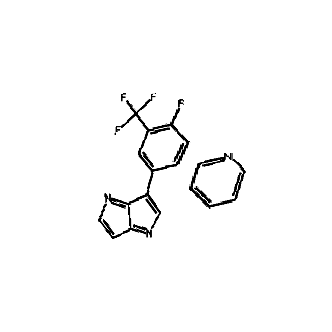 Fc1ccc(C2=CN=C3C=CN=C23)cc1C(F)(F)F.c1ccncc1